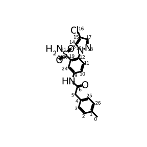 Cc1ccc(CC(=O)Nc2ccc(-n3cc(Cl)cn3)c(S(N)(=O)=O)c2)cc1